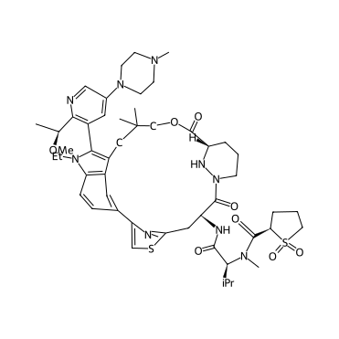 CCn1c(-c2cc(N3CCN(C)CC3)cnc2[C@H](C)OC)c2c3cc(ccc31)-c1csc(n1)C[C@H](NC(=O)[C@H](C(C)C)N(C)C(=O)[C@H]1CCCS1(=O)=O)C(=O)N1CCC[C@H](N1)C(=O)OCC(C)(C)C2